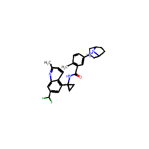 Cc1ccc2c(C3(NC(=O)c4cc(N5CC6CCC(C5)N6C)ccc4C)CC3)cc(C(F)F)cc2n1